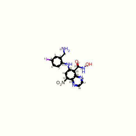 NCc1cc(I)ccc1Nc1cc([N+](=O)[O-])c2nccnc2c1C(=O)NO